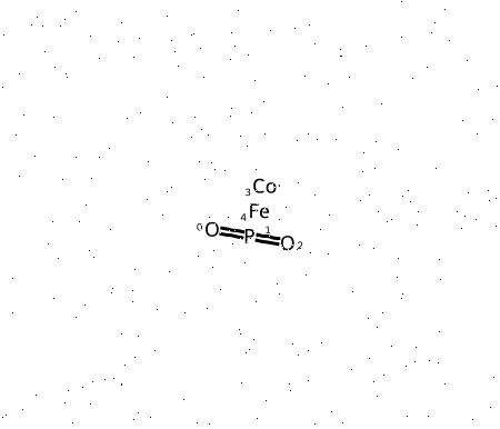 O=[P]=O.[Co].[Fe]